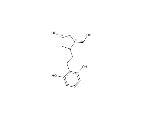 OC[C@@H]1C[C@@H](O)CN1CCc1c(O)cccc1O